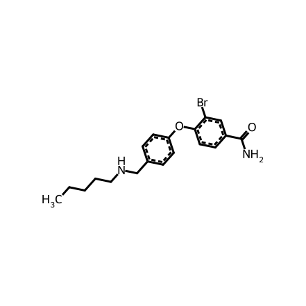 CCCCCNCc1ccc(Oc2ccc(C(N)=O)cc2Br)cc1